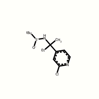 CCC(C)(N[S+]([O-])C(C)(C)C)c1ccnc(Cl)c1